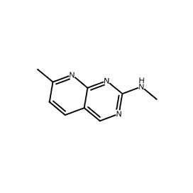 CNc1ncc2ccc(C)nc2n1